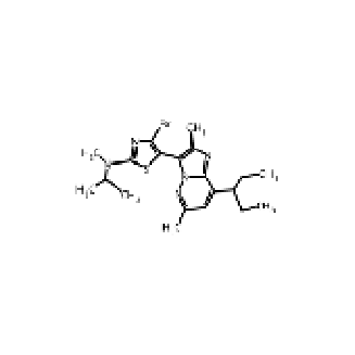 CCC(CC)c1cc(C)nn2c(-c3sc(N(C)C(C)C)nc3Br)c(C)nc12